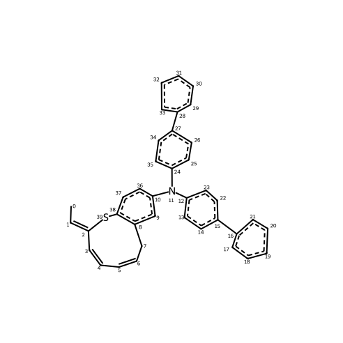 C/C=C1/C=C\C=C/Cc2cc(N(c3ccc(-c4ccccc4)cc3)c3ccc(-c4ccccc4)cc3)ccc2S1